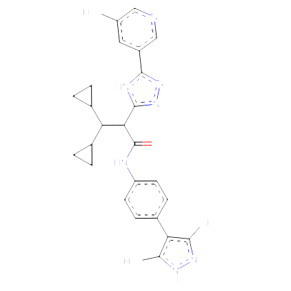 Cc1cncc(-c2nnc(C(C(=O)Nc3ccc(-c4c(C)n[nH]c4C)cc3)C(C3CC3)C3CC3)[nH]2)c1